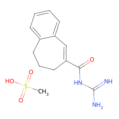 CS(=O)(=O)O.N=C(N)NC(=O)C1=Cc2ccccc2CCC1